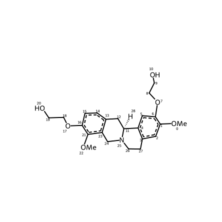 COc1cc2c(cc1OCCO)[C@@H]1Cc3ccc(OCCO)c(OC)c3CN1CC2